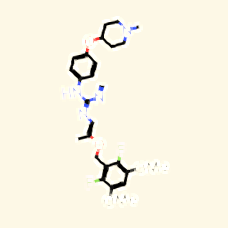 C=N/C(=N\C=C(/C)OCc1c(F)c(OC)cc(OC)c1F)Nc1ccc(OC2CCN(C)CC2)cc1